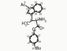 CC(=O)n1cc(C(C)C(N)C(=O)Oc2ccc(C(C)(C)C)cc2)c2ccccc21